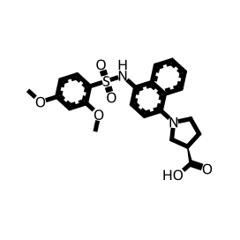 COc1ccc(S(=O)(=O)Nc2ccc(N3CC[C@@H](C(=O)O)C3)c3ccccc23)c(OC)c1